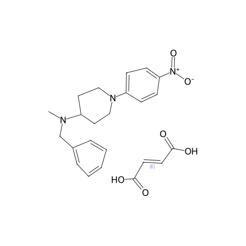 CN(Cc1ccccc1)C1CCN(c2ccc([N+](=O)[O-])cc2)CC1.O=C(O)/C=C/C(=O)O